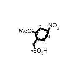 COc1cc([N+](=O)[O-])ccc1CS(=O)(=O)O